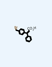 O=C(O)C=C(c1ccccc1)c1ccc(CBr)cc1